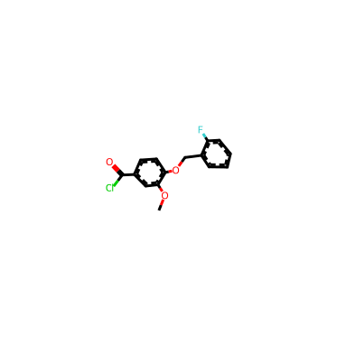 COc1cc(C(=O)Cl)ccc1OCc1ccccc1F